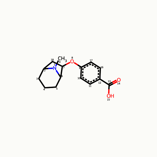 CN1C2CCCC1C(Oc1ccc(C(=O)O)cc1)C2